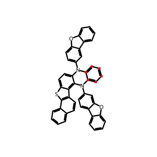 c1ccc(N(c2ccc3oc4ccccc4c3c2)c2ccc3sc4c5ccccc5ccc4c3c2N(c2ccccc2)c2ccc3c(c2)oc2ccccc23)cc1